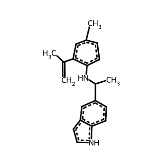 C=C(C)c1cc(C)ccc1NC(C)c1ccc2[nH]ccc2c1